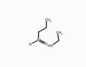 CCC[N+](=O)[O-].CCO